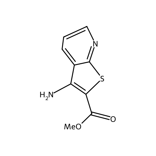 COC(=O)c1sc2ncccc2c1N